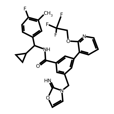 Cc1cc(C(NC(=O)c2cc(Cn3ccoc3=N)cc(-c3cccnc3OCC(F)(F)F)c2)C2CC2)ccc1F